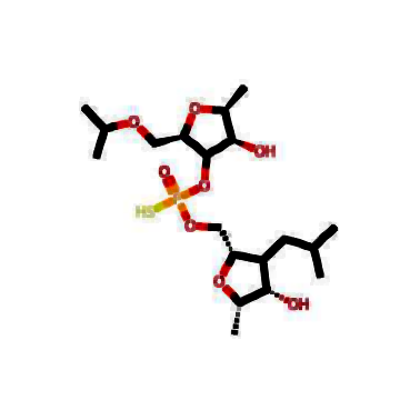 CC(C)CC1[C@@H](COP(=O)(S)OC2[C@@H](COC(C)C)O[C@@H](C)[C@H]2O)O[C@@H](C)[C@H]1O